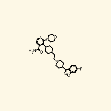 NC(=O)c1ccnc(N2CCOCC2)c1C1CCC(CCN2CCC(c3noc4cc(F)ccc34)CC2)CC1